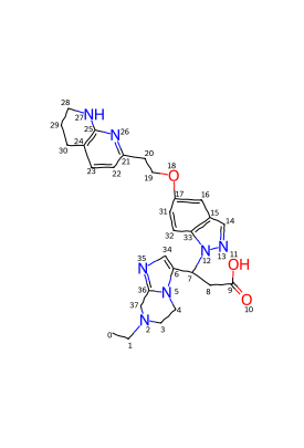 CCN1CCn2c(C(CC(=O)O)n3ncc4cc(OCCc5ccc6c(n5)NCCC6)ccc43)cnc2C1